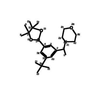 CC(c1cc(B2OC(C)(C)C(C)(C)O2)cc(C(C)(C)C)c1)N1CCOCC1